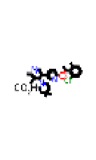 Cc1cccc(Cl)c1C(C)Oc1ccc(-c2cnc(C)c(CC(=O)O)c2N2CCC(C)(C)CC2)cn1